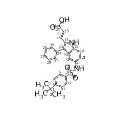 CC(C)(C)c1ccc(S(=O)(=O)Nc2ccc3[nH]c(/C=C/C(=O)O)c(-c4ccccc4)c3c2)cc1